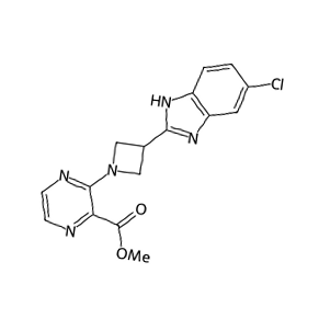 COC(=O)c1nccnc1N1CC(c2nc3cc(Cl)ccc3[nH]2)C1